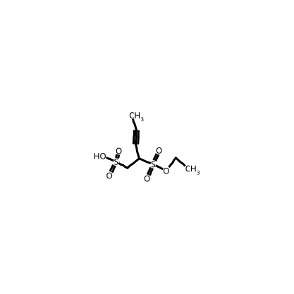 CC#CC(CS(=O)(=O)O)S(=O)(=O)OCC